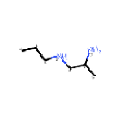 CCCNCC(C)N